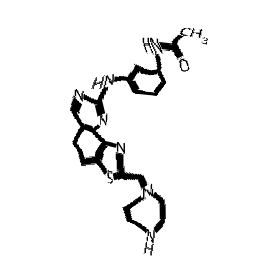 CC(=O)Nc1cccc(Nc2ncc3c(n2)-c2nc(CN4CCNCC4)sc2CC3)c1